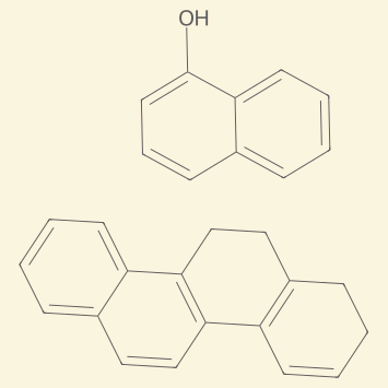 C1=CC2=C(CC1)CCc1c2ccc2ccccc12.Oc1cccc2ccccc12